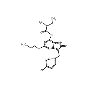 CCCSc1nc(NC(=O)C(C)CC)c2[nH]c(=O)n(Cc3ccc(Cl)cc3)c2n1